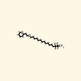 FC(F)(F)C(F)(F)C(F)(F)CCCCCCCCCCCCCOCCC1CCCCO1